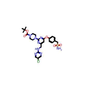 CC(C)(C)OC(=O)N1CCN(c2nc(CNc3ncc(Cl)cn3)cc(Oc3ccc(CS(N)(=O)=O)cc3)n2)CC1